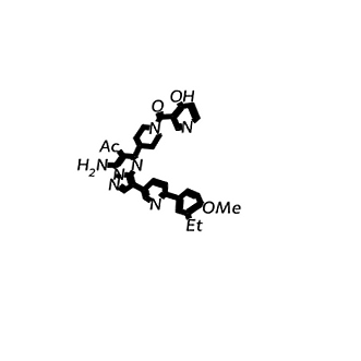 CCc1cc(-c2ccc(-c3cnn4c(N)c(C(C)=O)c(C5CCN(C(=O)c6cnccc6O)CC5)nc34)cn2)ccc1OC